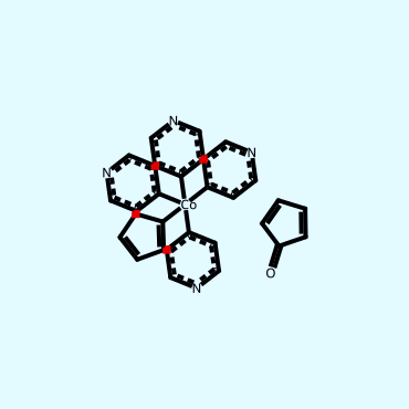 C1=CC[C]([Co]([c]2ccncc2)([c]2ccncc2)([c]2ccncc2)[c]2ccncc2)=C1.O=C1C=CC=C1